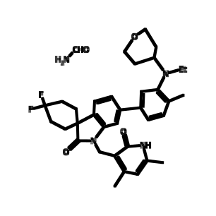 CCN(c1cc(-c2ccc3c(c2)N(Cc2c(C)cc(C)[nH]c2=O)C(=O)C32CCC(F)(F)CC2)ccc1C)C1CCOCC1.NC=O